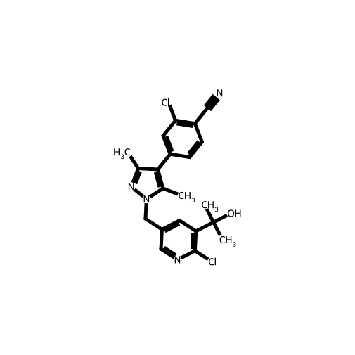 Cc1nn(Cc2cnc(Cl)c(C(C)(C)O)c2)c(C)c1-c1ccc(C#N)c(Cl)c1